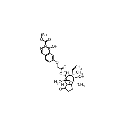 C=C[C@]1(C)C[C@@H](OC(=O)COc2ccc3c(c2)B(O)N(C(=O)OC(C)(C)C)N=C3)[C@]2(C)[C@H](C)CC[C@]3(CCC(=O)[C@H]32)[C@@H](C)[C@@H]1O